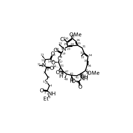 CCNC(=O)CSCCC(=O)N(C)[C@@H](C)C(=O)O[C@H]1CC(=O)N(C)c2cc(cc(OC)c2Cl)C/C(C)=C/C=C/[C@@H](OC)[C@@]2(O)C[C@H](OC(=O)N2)[C@@H](C)[C@@H]2O[C@@]12C